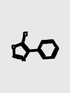 Clc1o[c]nc1-c1ccccc1